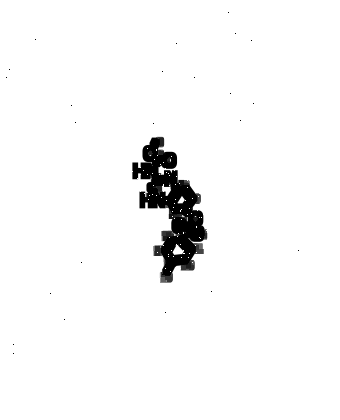 COC(=O)NC1=Nc2ccc(OS(=O)(=O)c3ccc(C)cc3)cc2NS1